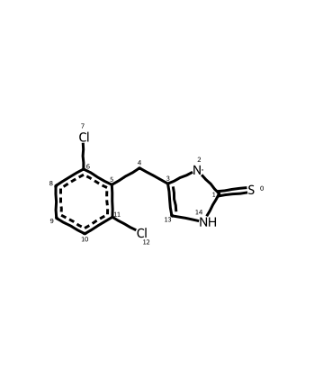 S=C1[N]C(Cc2c(Cl)cccc2Cl)=CN1